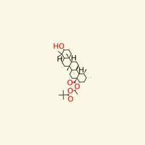 CC(OC(=O)C(C)(C)C)OC(=O)[C@]12CC[C@@H](C)[C@H](C)[C@H]1C1=CC[C@@H]3[C@@]4(C)CC[C@H](O)C(C)(C)[C@@H]4CC[C@@]3(C)[C@]1(C)CC2